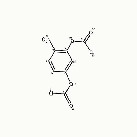 O=C(Cl)Oc1ccc([N+](=O)[O-])c(OC(=O)Cl)c1